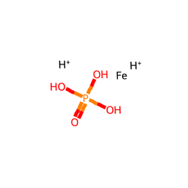 O=P(O)(O)O.[Fe].[H+].[H+]